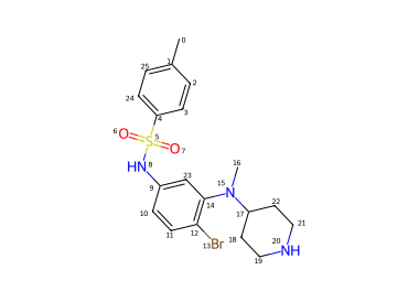 Cc1ccc(S(=O)(=O)Nc2ccc(Br)c(N(C)C3CCNCC3)c2)cc1